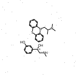 CC(CN1c2ccccc2Sc2ccccc21)N(C)C.CNC[C@H](O)c1cccc(O)c1